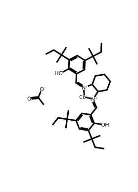 CC(=O)[O-].CCC(C)(C)c1cc(C=[N+]2[Co][N+](=Cc3cc(C(C)(C)CC)cc(C(C)(C)CC)c3O)C3CCCCC32)c(O)c(C(C)(C)CC)c1